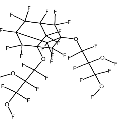 FOC(F)(F)C(F)(OF)C(F)(F)OC12C(F)(F)C3(F)C(F)(F)C(F)(C1(F)F)C(F)(F)C(OC(F)(F)C(F)(OF)C(F)(F)OF)(C3(F)F)C2(F)F